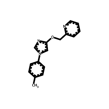 Cc1ccc(-n2cnc(OCc3ccccn3)c2)cc1